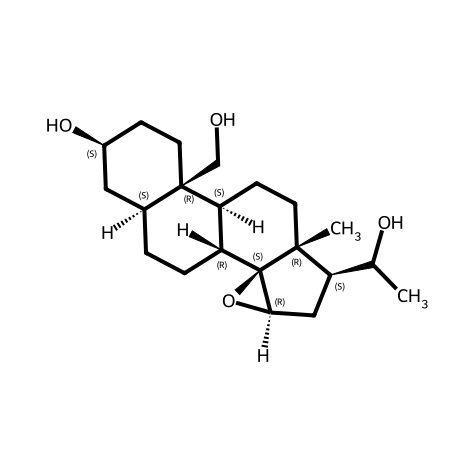 CC(O)[C@H]1C[C@H]2O[C@]23[C@@H]2CC[C@H]4C[C@@H](O)CC[C@]4(CO)[C@H]2CC[C@]13C